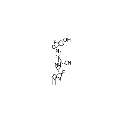 N#CCC1(n2cc(-c3c(F)cnc4[nH]ccc34)cn2)CN(C2CCN(C(=O)c3ccc(O)cc3F)CC2)C1